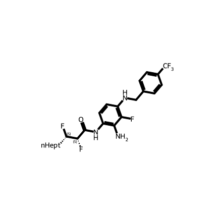 CCCCCCC[C@H](F)[C@@H](F)C(=O)Nc1ccc(NCc2ccc(C(F)(F)F)cc2)c(F)c1N